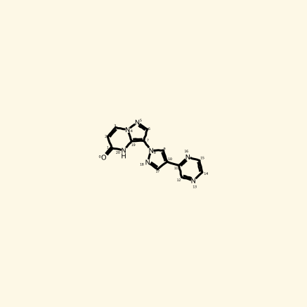 O=c1ccn2ncc(-n3cc(-c4cnccn4)cn3)c2[nH]1